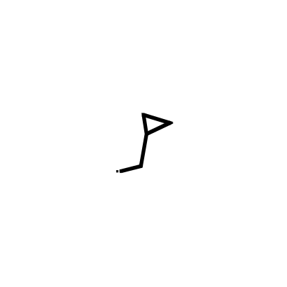 [CH2]CC1CC1